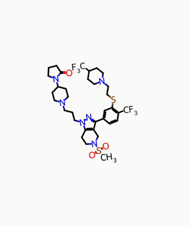 CS(=O)(=O)N1CCc2c(c(-c3ccc(C(F)(F)F)c(SCCN4CCC(C(F)(F)F)CC4)c3)nn2CCCN2CCC(N3CCCC3=O)CC2)C1